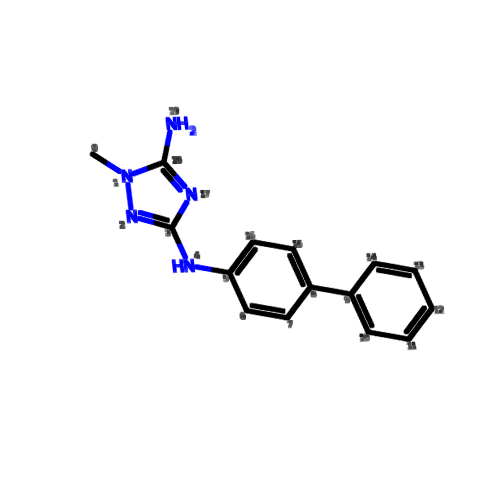 Cn1nc(Nc2ccc(-c3ccccc3)cc2)nc1N